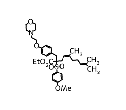 CCOC(=O)C(CC=C(C)CCC=C(C)C)(Cc1ccc(OCCN2CCOCC2)cc1)S(=O)(=O)c1ccc(OC)cc1